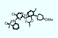 COC1CCN(c2c(F)ccc(Nc3ncc(Cl)c(Nc4ccccc4P(C)(C)=O)n3)c2OC(F)F)CC1